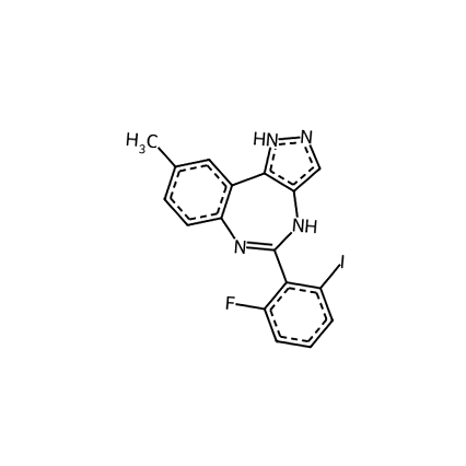 Cc1ccc2c(c1)-c1[nH]ncc1NC(c1c(F)cccc1I)=N2